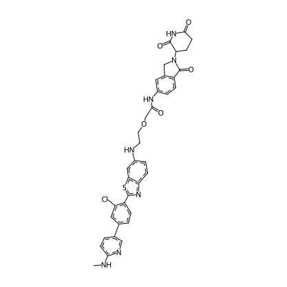 CNc1ccc(-c2ccc(-c3nc4ccc(NCCOCC(=O)Nc5ccc6c(c5)CN(C5CCC(=O)NC5=O)C6=O)cc4s3)c(Cl)c2)cn1